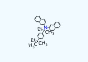 CCC(C)(C)c1ccc(C(C)(CC)N(c2ccc3ccccc3c2)c2ccc3ccccc3c2)cc1